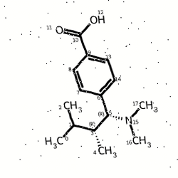 CC(C)[C@@H](C)[C@H](c1ccc(C(=O)O)cc1)N(C)C